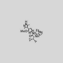 CCn1nccc1C(=O)N[C@@H](C(=O)Nc1ccc(-c2c(C)n[nH]c2C)c(OC)n1)C(C1CC1)C1CC1